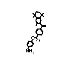 C=C(c1ccc(C(=O)Oc2ccc(N)cc2)cc1)c1cc2c(cc1C)C(C)(C)CCC2(C)C